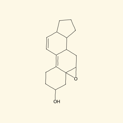 OC1CCC2=C3C=CC4CCCC4C3CC3OC23C1